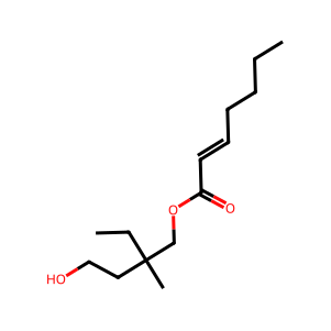 CCCC/C=C/C(=O)OCC(C)(CC)CCO